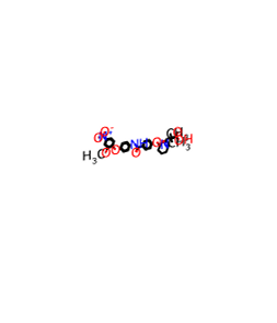 COc1cc([N+](=O)[O-])ccc1Oc1ccc(NC(=O)c2ccc(OC34CCCC(CC3)N4CC(C)(C)C(=O)O)cc2)cc1